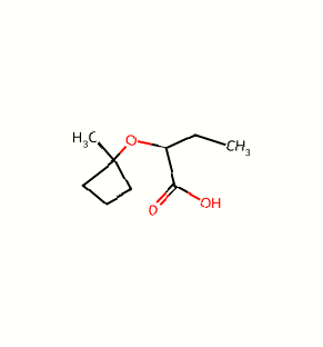 CCC(OC1(C)CCC1)C(=O)O